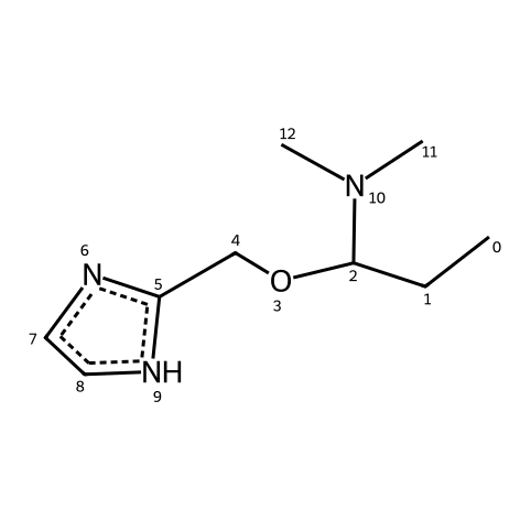 CCC(OCc1ncc[nH]1)N(C)C